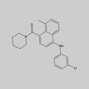 Cc1cccc2c(Nc3cccc(Cl)c3)ccc(C(=O)N3CCCCC3)c12